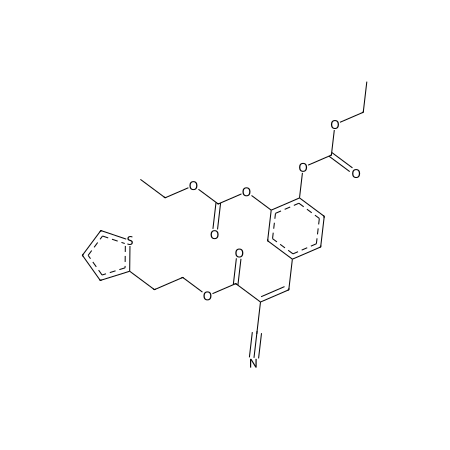 CCOC(=O)Oc1ccc(C=C(C#N)C(=O)OCCc2cccs2)cc1OC(=O)OCC